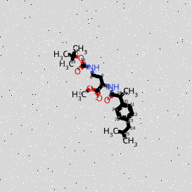 COC(=O)C(CCNC(=O)OC(C)(C)C)NC(=O)C(C)c1ccc(CC(C)C)cc1